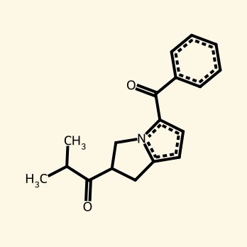 CC(C)C(=O)C1Cc2ccc(C(=O)c3ccccc3)n2C1